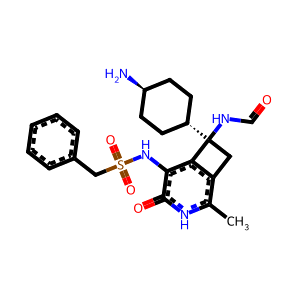 Cc1[nH]c(=O)c(NS(=O)(=O)Cc2ccccc2)c2c1CC2(NC=O)[C@H]1CC[C@H](N)CC1